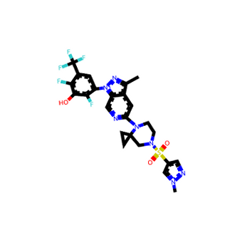 Cc1nn(-c2cc(C(F)(F)F)c(F)c(O)c2F)c2cnc(N3CCN(S(=O)(=O)c4cnn(C)c4)CC34CC4)cc12